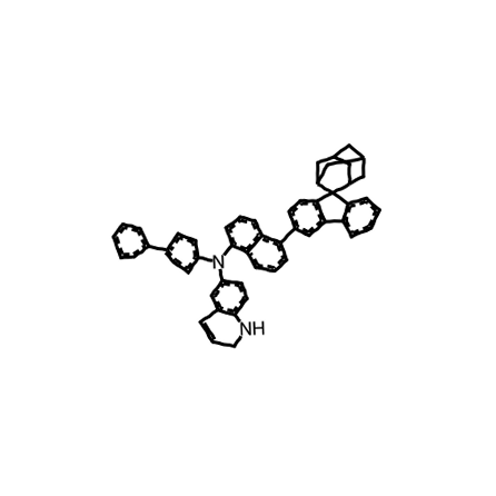 C1=Cc2cc(N(c3ccc(-c4ccccc4)cc3)c3cccc4c(-c5ccc6c(c5)-c5ccccc5C65C6CC7CC(C6)CC5C7)cccc34)ccc2NC1